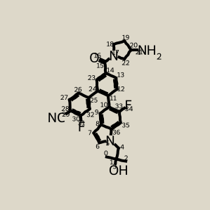 CC(C)(O)Cn1ccc2cc(-c3ccc(C(=O)N4CCC(N)C4)cc3-c3ccc(C#N)c(F)c3)c(F)cc21